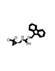 P=C(NC[C@H]1CC1(Cl)Cl)OCC1c2ccccc2-c2ccccc21